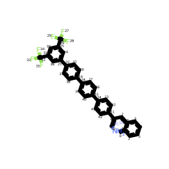 C=c1cccc/c1=C/C(=C\N)c1ccc(-c2ccc(-c3ccc(-c4cc(C(F)(F)F)cc(C(F)(F)F)c4)cc3)cc2)cc1